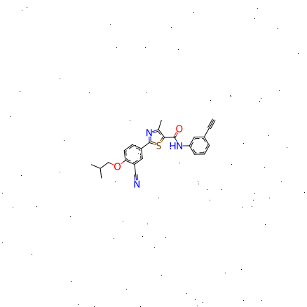 C#Cc1cccc(NC(=O)c2sc(-c3ccc(OCC(C)C)c(C#N)c3)nc2C)c1